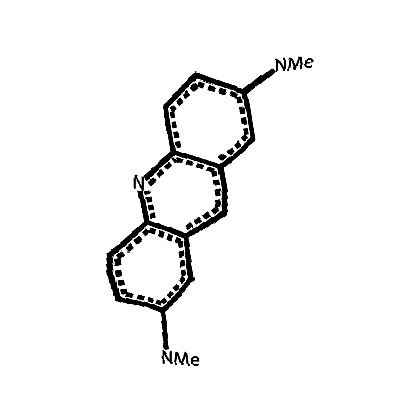 CNc1ccc2nc3ccc(NC)cc3cc2c1